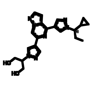 CC[C@H](C1CC1)n1cc(-c2nc(-c3cnn(C(CO)CO)c3)cn3nccc23)cn1